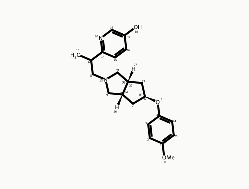 COc1ccc(O[C@H]2C[C@@H]3CN(CC(C)c4ccc(O)cn4)C[C@@H]3C2)cc1